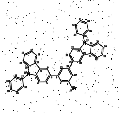 CC(C)c1cc(-c2ccc3c(c2)c2ccccc2n3-c2ccccc2)[c]c(-c2ccc3c(c2)c2ccccc2n3-c2ccccc2)c1